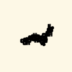 C=C(C)[C@@H]1CC[C@]2(CC(=O)NCc3ccc(C)c(F)c3)CC[C@]3(C)[C@H](CC[C@@H]4[C@@]5(C)CC[C@H](OC(=O)CC(C)(C)C(=O)O)C(C)(C)[C@@H]5CC[C@]43C)[C@@H]12